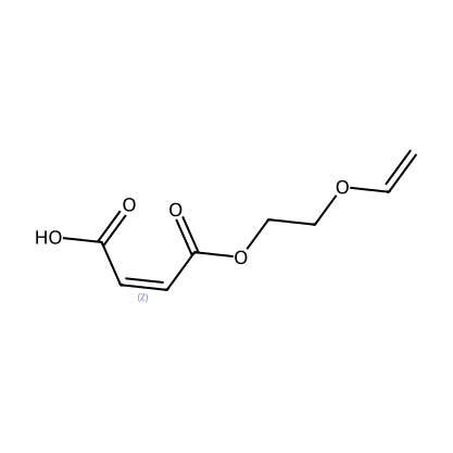 C=COCCOC(=O)/C=C\C(=O)O